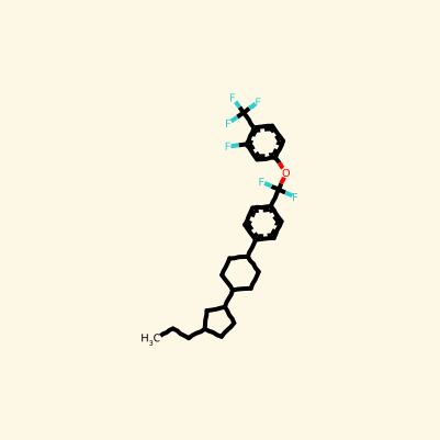 CCCC1CCC(C2CCC(c3ccc(C(F)(F)Oc4ccc(C(F)(F)F)c(F)c4)cc3)CC2)C1